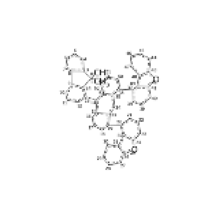 CC1(C)c2ccccc2-c2cccc(-c3c4cccc(-c5cccc6oc7ccccc7c56)c4cc4c(-c5cccc6oc7ccccc7c56)cccc34)c21